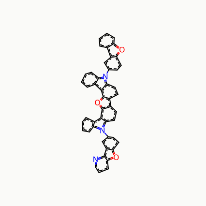 c1ccc2c(c1)oc1ccc(-n3c4ccccc4c4c5oc6c(ccc7c6c6ccccc6n7-c6ccc7oc8cccnc8c7c6)c5ccc43)cc12